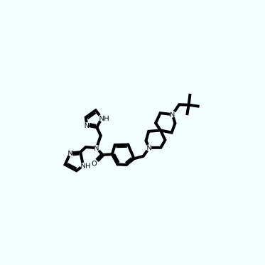 CC(C)(C)CN1CCC2(CCN(Cc3ccc(C(=O)N(Cc4ncc[nH]4)Cc4ncc[nH]4)cc3)CC2)CC1